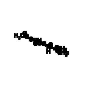 CC(=O)COCCOCCNC(=O)COCCOCCNC(=O)CCCC(=O)OC(C)(C)C